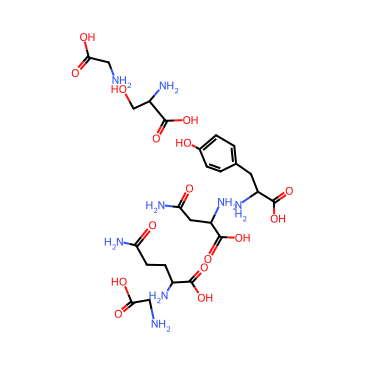 NC(=O)CC(N)C(=O)O.NC(=O)CCC(N)C(=O)O.NC(CO)C(=O)O.NC(Cc1ccc(O)cc1)C(=O)O.NCC(=O)O.NCC(=O)O